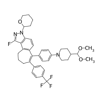 COC(OC)C1CCN(c2ccc(C3=C(c4ccc(C(F)(F)F)cc4)CCCc4c3ccc3c4c(F)nn3C3CCCCO3)cc2)CC1